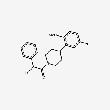 CCC(C(=O)N1CCN(c2cc(F)ccc2OC)CC1)c1ccccc1